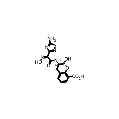 Nc1nc(/C(=N/O)C(=O)N[C@@H]2Cc3cccc(C(=O)O)c3OB2O)ns1